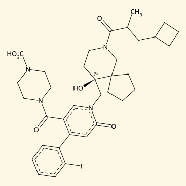 CC(CC1CCC1)C(=O)N1CC[C@@](O)(Cn2cc(C(=O)N3CCN(C(=O)O)CC3)c(-c3ccccc3F)cc2=O)C2(CCCC2)C1